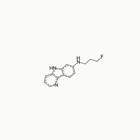 FCCCNc1ccc2c(c1)[nH]c1cccnc12